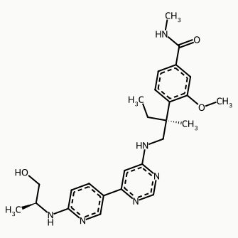 CC[C@](C)(CNc1cc(-c2ccc(N[C@@H](C)CO)nc2)ncn1)c1ccc(C(=O)NC)cc1OC